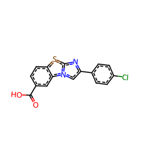 O=C(O)c1ccc2sc3nc(-c4ccc(Cl)cc4)cn3c2c1